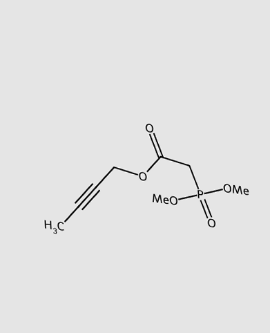 CC#CCOC(=O)CP(=O)(OC)OC